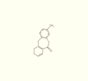 Cc1ccc2c(c1)CC(=O)C1=C(CCC=C1)C2